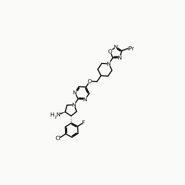 CC(C)c1noc(N2CCC(COc3cnc(N4C[C@H](c5cc(Cl)ccc5F)[C@@H](N)C4)nc3)CC2)n1